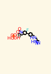 O=C1O[C@@H](COP(=O)(O)O)[C@@H]2Cc3cc(-c4ccc(CNCc5cnn[nH]5)cc4)c(F)cc3N12